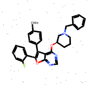 COc1ccc(-c2c(-c3ccccc3F)oc3ncnc(O[C@@H]4CCCN(Cc5ccccc5)C4)c23)cc1